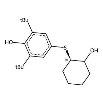 CC(C)(C)c1cc(S[C@@H]2CCCCC2O)cc(C(C)(C)C)c1O